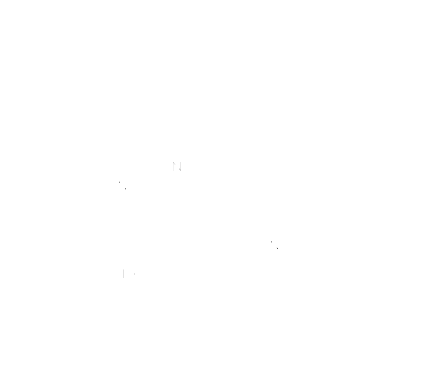 Cl.Cl.c1ccc2c(c1)ncn2SCCN1CCOCC1